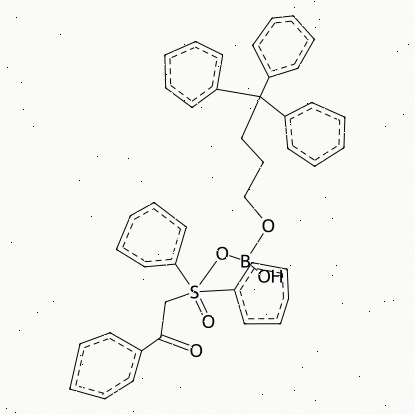 O=C(CS(=O)(OB(O)OCCCC(c1ccccc1)(c1ccccc1)c1ccccc1)(c1ccccc1)c1ccccc1)c1ccccc1